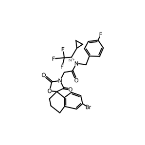 O=C1OC2(CCCc3cc(Br)ccc32)C(=O)N1CC(=O)N(Cc1ccc(F)cc1)[C@@H](C1CC1)C(F)(F)F